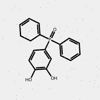 O=P(C1=CC=CCC1)(c1ccccc1)c1ccc(O)c(O)c1